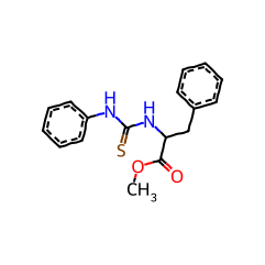 COC(=O)C(Cc1ccccc1)NC(=S)Nc1ccccc1